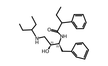 CCC(CC)NC[C@H](O)[C@H](Cc1ccccc1)NC(=O)C(CC)c1ccccc1